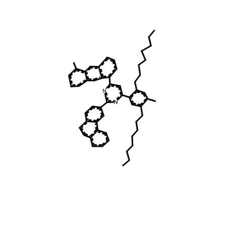 CCCCCCCCc1cc(-c2cc(-c3cccc4cc5c(C)cccc5cc34)nc(-c3ccc4ccc5ccccc5c4c3)n2)c(CCCCCCCC)cc1C